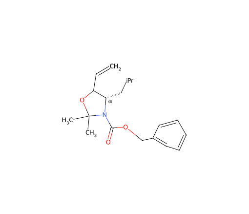 C=CC1OC(C)(C)N(C(=O)OCc2ccccc2)[C@H]1CC(C)C